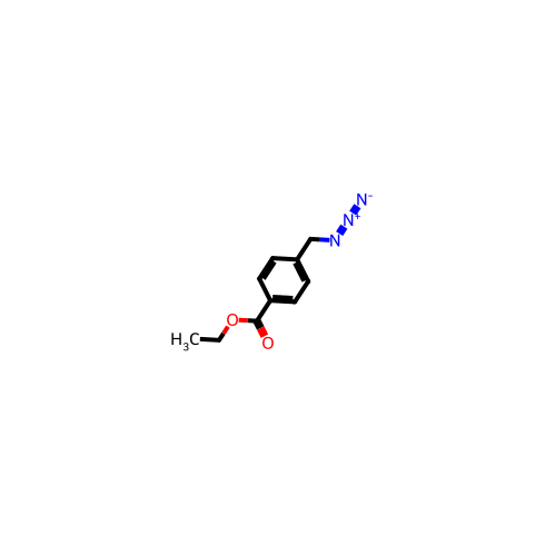 CCOC(=O)c1ccc(CN=[N+]=[N-])cc1